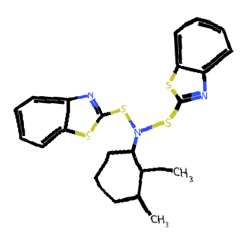 CC1CCCC(N(Sc2nc3ccccc3s2)Sc2nc3ccccc3s2)C1C